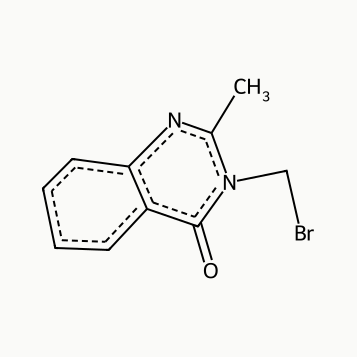 Cc1nc2ccccc2c(=O)n1CBr